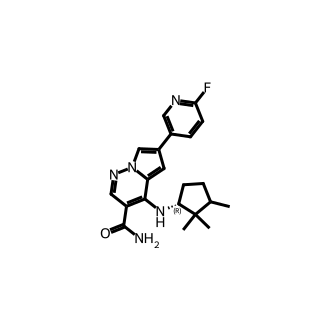 CC1CC[C@@H](Nc2c(C(N)=O)cnn3cc(-c4ccc(F)nc4)cc23)C1(C)C